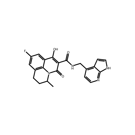 CC1CCc2cc(F)cc3c(O)c(C(=O)NCc4ccnc5[nH]ccc45)c(=O)n1c23